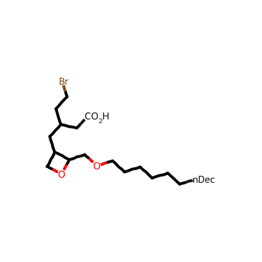 CCCCCCCCCCCCCCCCOCC1OCC1CC(CCBr)CC(=O)O